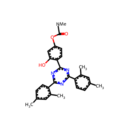 CNC(=O)Oc1ccc(-c2nc(-c3ccc(C)cc3C)nc(-c3ccc(C)cc3C)n2)c(O)c1